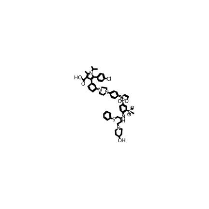 Cc1c(C(=O)O)c(-c2cccc(N3CCN(c4ccc(N5C=COP5(=O)c5ccc(NC(CCN6CCC(O)CC6)CSc6ccccc6)c(S(C)(=O)=O)c5)cc4)CC3)c2)c(-c2ccc(Cl)cc2)n1C(C)C